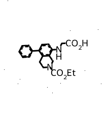 CCOC(=O)N1CCc2c(-c3ccccc3)ccc(NCC(=O)O)c2C1